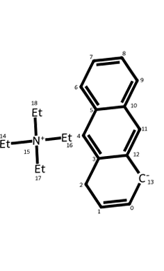 C1=CCc2cc3ccccc3cc2[CH-]1.CC[N+](CC)(CC)CC